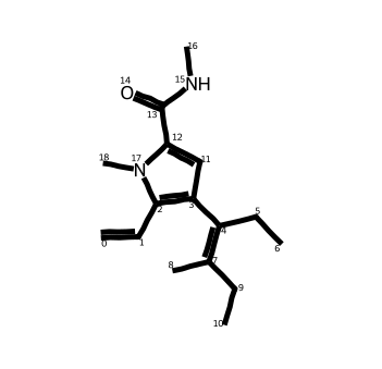 C=Cc1c(/C(CC)=C(\C)CC)cc(C(=O)NC)n1C